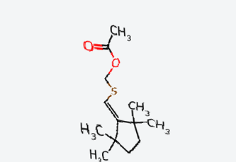 CC(=O)OCSC=C1C(C)(C)CCC1(C)C